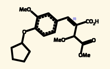 COC(=O)C(OC)/C(=C\c1ccc(OC2CCCC2)c(OC)c1)C(=O)O